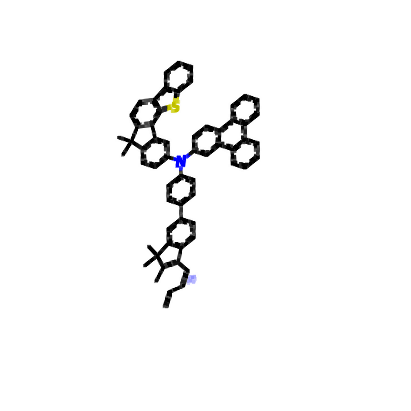 C=C/C=C\C1=C(C)C(C)(C)c2cc(-c3ccc(N(c4ccc5c(c4)-c4c(ccc6c4sc4ccccc46)C5(C)C)c4ccc5c6ccccc6c6ccccc6c5c4)cc3)ccc21